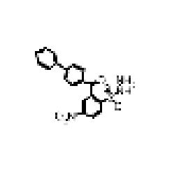 NNS(=O)(=O)c1ccc([N+](=O)[O-])cc1C(=O)c1ccc(-c2ccccc2)cc1